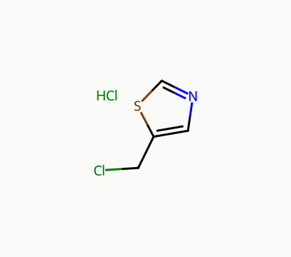 Cl.ClCc1cncs1